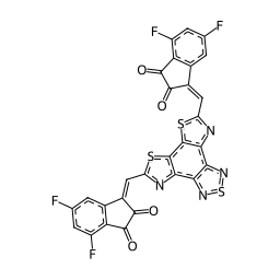 O=C1C(=O)c2c(F)cc(F)cc2/C1=C/c1nc2c3nsnc3c3nc(/C=C4\C(=O)C(=O)c5c(F)cc(F)cc54)sc3c2s1